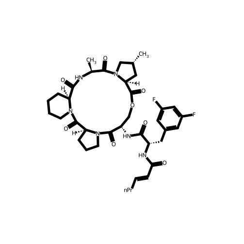 CCC/C=C/C(=O)N[C@@H](Cc1cc(F)cc(F)c1)C(=O)N[C@H]1COC(=O)[C@@H]2C[C@@H](C)CN2C(=O)[C@H](C)NC(=O)[C@@H]2CCCCN2C(=O)[C@@H]2CCCN2C1=O